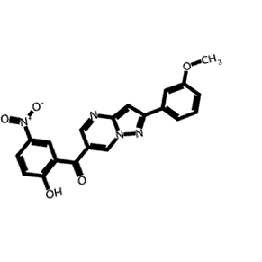 COc1cccc(-c2cc3ncc(C(=O)c4cc([N+](=O)[O-])ccc4O)cn3n2)c1